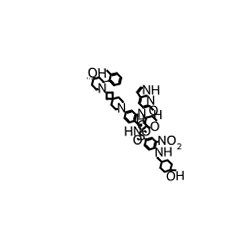 Cc1ccccc1[C@@H]1C[C@](C)(O)CCN1C1CC2(CCN(c3ccc(C(=O)NS(=O)(=O)c4ccc(NCC5CCC(C)(O)CC5)c([N+](=O)[O-])c4)c(N4c5cc6cc[nH]c6nc5O[C@H]5COCC[C@@H]54)c3)CC2)C1